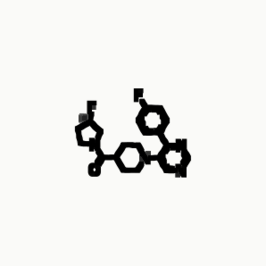 O=C(C1CCN(c2cncnc2-c2ccc(F)cc2)CC1)N1CC[C@@H](F)C1